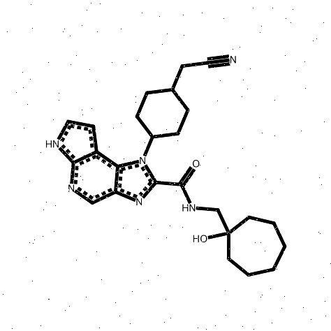 N#CCC1CCC(n2c(C(=O)NCC3(O)CCCCCC3)nc3cnc4[nH]ccc4c32)CC1